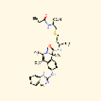 CN1C([N+](=O)[O-])=C([N+](=O)[O-])c2cc(NC(=NC#N)Nc3ccccc3)ccc2C1(C(=O)NC(CCSCC(NC(=O)CC(C)(C)C)C(=O)O)C(=O)O)[N+](=O)[O-]